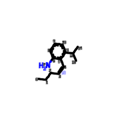 CCC/C=C\c1c(N)cccc1C(C)C